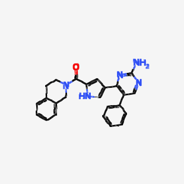 Nc1ncc(-c2ccccc2)c(-c2c[nH]c(C(=O)N3CCc4ccccc4C3)c2)n1